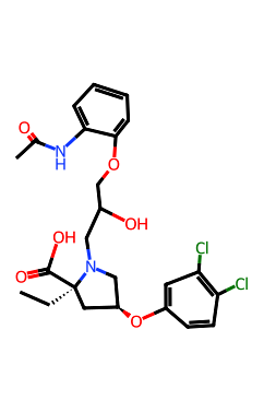 CC[C@@]1(C(=O)O)C[C@H](Oc2ccc(Cl)c(Cl)c2)CN1CC(O)COc1ccccc1NC(C)=O